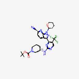 CC(C)(C)OC(=O)N1CCC[C@H](Nc2ncc(C(F)(F)F)c(-c3nn(C4CCCCO4)c4nc(C#N)ccc34)n2)C1